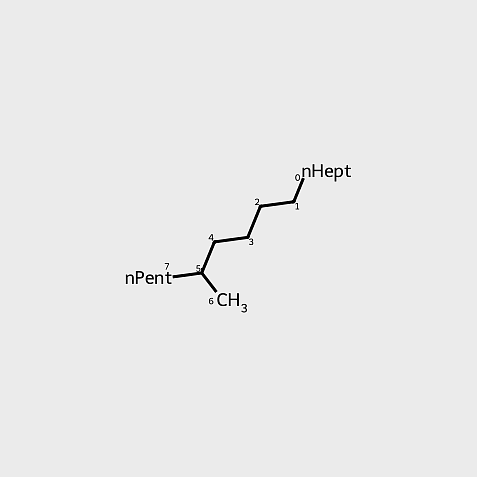 CCCCCCCCCCC[C](C)CCCCC